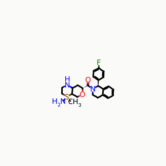 C[S@@]1(N)CCNC2C[C@H](C(=O)N3CCc4ccccc4[C@@H]3c3ccc(F)cc3)OCC21